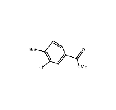 CCCCc1ccc(C(=O)OC)cc1Cl